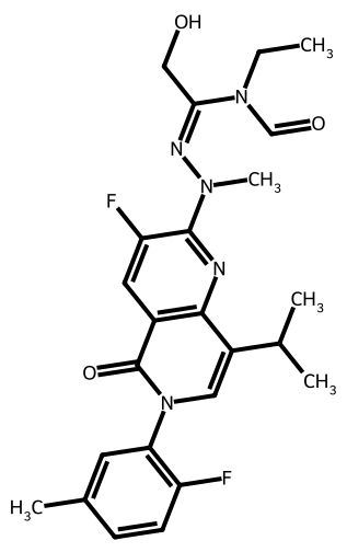 CCN(C=O)/C(CO)=N\N(C)c1nc2c(C(C)C)cn(-c3cc(C)ccc3F)c(=O)c2cc1F